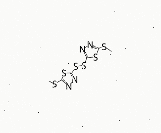 CSc1nnc(SSc2nnc(SC)s2)s1